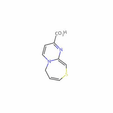 O=C(O)C1=NC2=CSC=CCN2C=C1